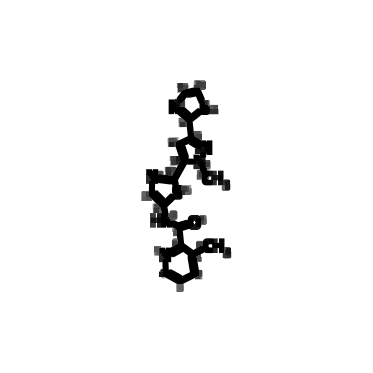 Cc1cccnc1C(=O)Nc1cnc(-c2cc(-c3nccs3)nn2C)s1